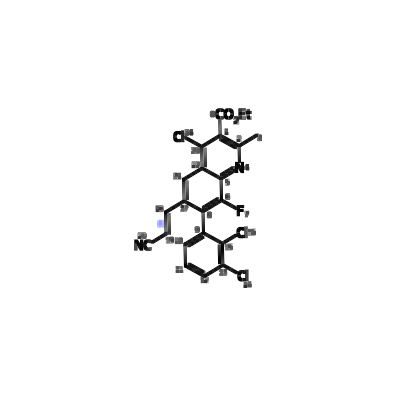 CCOC(=O)c1c(C)nc2c(F)c(-c3cccc(Cl)c3Cl)c(/C=C/C#N)cc2c1Cl